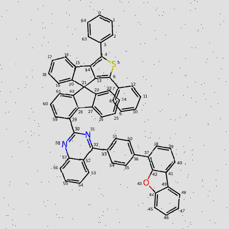 c1ccc(-c2sc(-c3ccccc3)c3c2-c2ccccc2C32c3ccccc3-c3c(-c4nc(-c5ccc(-c6cccc7c6oc6ccccc67)cc5)c5ccccc5n4)cccc32)cc1